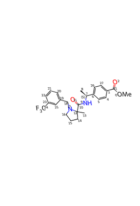 COC(=O)c1ccc([C@H](C)NC(=O)C2(C)CCCN2Cc2cccc(C(F)(F)F)c2)cc1